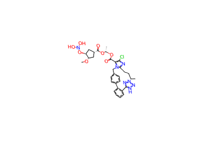 CCCCc1nc(Cl)c(C(=O)O[C@@H](C)OC(=O)[C@@H]2C[C@H](OC)[C@@H](ON(O)O)C2)n1Cc1ccc(-c2ccccc2-c2nnn[nH]2)cc1